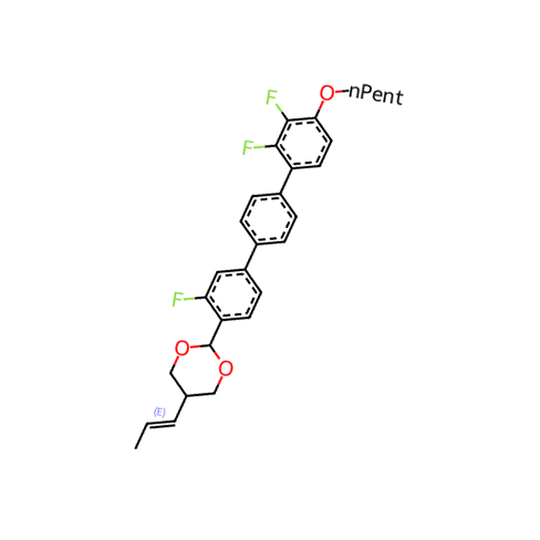 C/C=C/C1COC(c2ccc(-c3ccc(-c4ccc(OCCCCC)c(F)c4F)cc3)cc2F)OC1